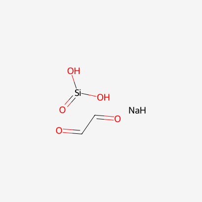 O=CC=O.O=[Si](O)O.[NaH]